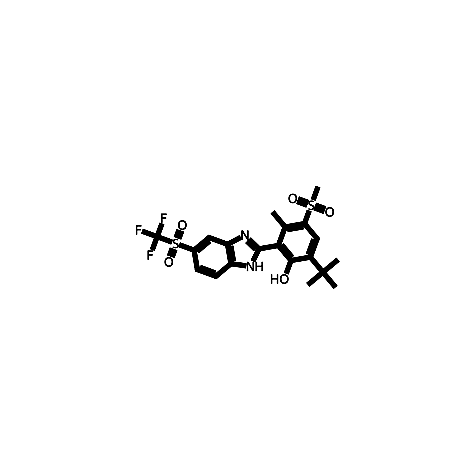 Cc1c(S(C)(=O)=O)cc(C(C)(C)C)c(O)c1-c1nc2cc(S(=O)(=O)C(F)(F)F)ccc2[nH]1